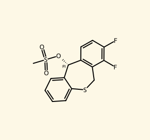 CS(=O)(=O)O[C@H]1c2ccccc2SCc2c1ccc(F)c2F